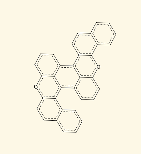 c1ccc2c(c1)ccc1c2oc2cccc3c2c1c1cccc2oc4ccc5ccccc5c4c3c21